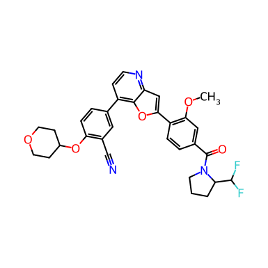 COc1cc(C(=O)N2CCCC2C(F)F)ccc1-c1cc2nccc(-c3ccc(OC4CCOCC4)c(C#N)c3)c2o1